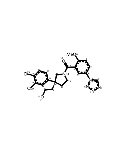 COc1ccc(-n2cnnn2)cc1C(=O)N1CC[C@](CCO)(c2ccc(Cl)c(Cl)c2)C1